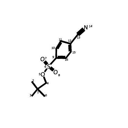 CC(C)(C)COS(=O)(=O)c1ccc(C#N)cc1